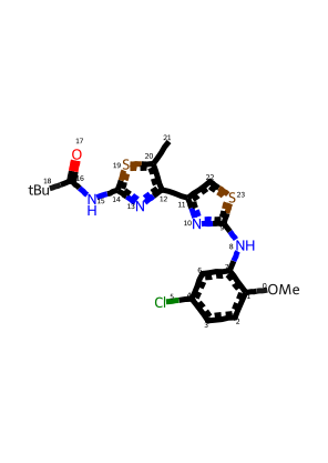 COc1ccc(Cl)cc1Nc1nc(-c2nc(NC(=O)C(C)(C)C)sc2C)cs1